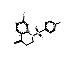 O=C1CCN(S(=O)(=O)c2ccc(Cl)cc2)c2cc(F)ccc21